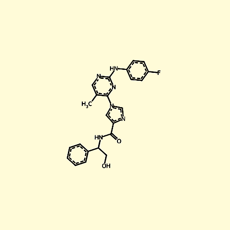 Cc1cnc(Nc2ccc(F)cc2)nc1-n1cnc(C(=O)NC(CO)c2ccccc2)c1